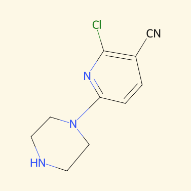 N#Cc1ccc(N2CCNCC2)nc1Cl